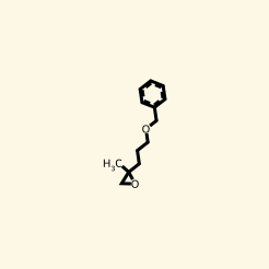 CC1(CCCOCc2ccccc2)CO1